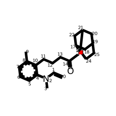 C=CN(C)c1cccc(C)c1CCCC(=O)N1C2CC3CC(C2)CC1C3